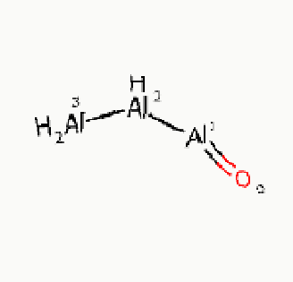 [O]=[Al][AlH][AlH2]